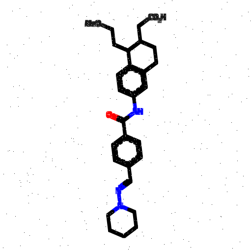 COCCC1c2ccc(NC(=O)c3ccc(C=NN4CCCCC4)cc3)cc2CCC1CC(=O)O